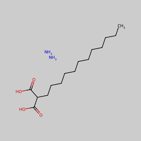 CCCCCCCCCCCCC(C(=O)O)C(=O)O.N.N